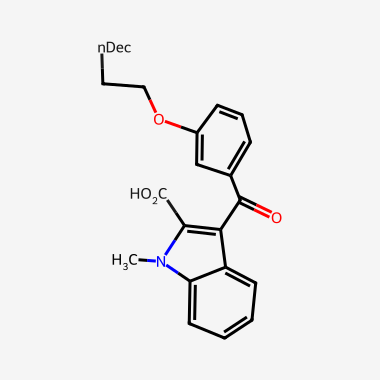 CCCCCCCCCCCCOc1cccc(C(=O)c2c(C(=O)O)n(C)c3ccccc23)c1